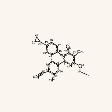 CCOc1nc(-c2ccc(C#N)c(F)c2)n(-c2ccc(C3CC3)cc2)c(=O)c1F